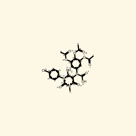 CC(=O)Oc1cc(N(C(=O)O)c2c(N)n(-c3ccc(Cl)cc3)c(=O)n(C)c2=O)cc(OC(C)=O)c1OC(C)=O